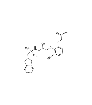 CC(C)(CC1Cc2ccccc2C1)NCC(O)COc1c(C#N)cccc1CCC(=O)O